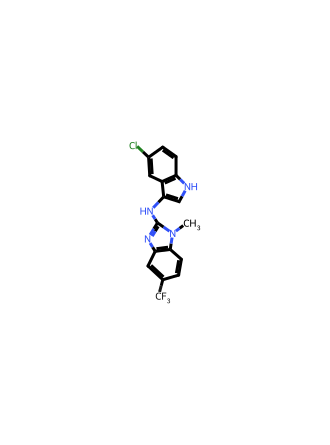 Cn1c(Nc2c[nH]c3ccc(Cl)cc23)nc2cc(C(F)(F)F)ccc21